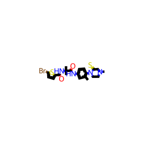 Cc1cc(NC(=O)C(C)(C)NC(=O)c2ccc(Br)s2)ccc1N1CCN(C)CC1=S